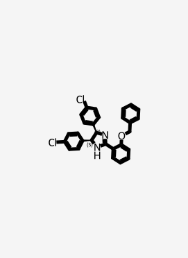 Clc1ccc([C@H]2N=C(c3ccccc3OCc3ccccc3)N[C@H]2c2ccc(Cl)cc2)cc1